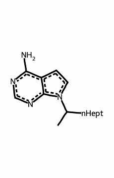 CCCCCCCC(C)n1ccc2c(N)ncnc21